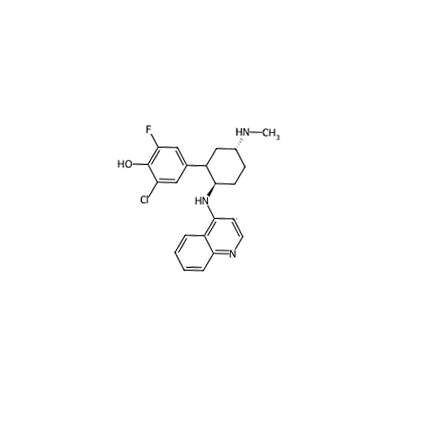 CN[C@@H]1CC[C@@H](Nc2[c]cnc3ccccc23)C(c2cc(F)c(O)c(Cl)c2)C1